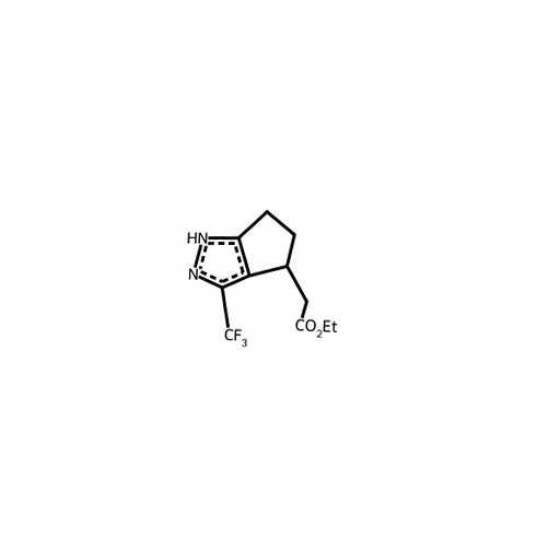 CCOC(=O)CC1CCc2[nH]nc(C(F)(F)F)c21